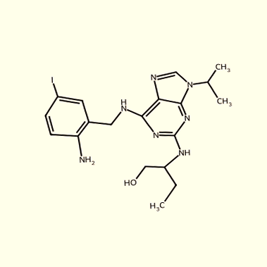 CCC(CO)Nc1nc(NCc2cc(I)ccc2N)c2ncn(C(C)C)c2n1